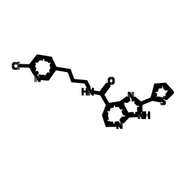 O=C(NCCCc1ccc(Cl)nc1)c1ccnc2[nH]c(-c3cccs3)nc12